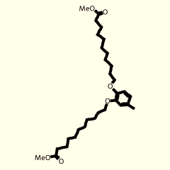 COC(=O)CCCCCCCCCCOc1ccc(C)cc1OCCCCCCCCCCC(=O)OC